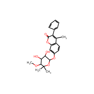 COC1C(O)C(O)C(Oc2ccc3c(C)c(-c4ccccc4)c(=O)oc3c2)OC1(C)C